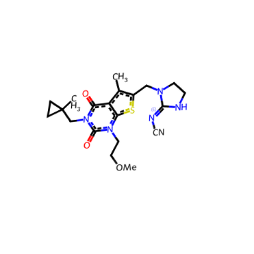 COCCn1c(=O)n(CC2(C)CC2)c(=O)c2c(C)c(CN3CCN/C3=N\C#N)sc21